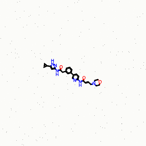 O=C(/C=C/CN1CCOCC1)Nc1ccc(-c2cccc(CC(=O)Nc3cc(C4CC4)[nH]n3)c2)cn1